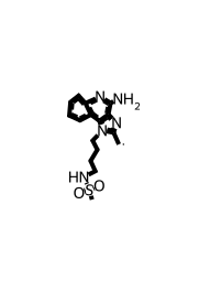 [CH2]c1nc2c(N)nc3ccccc3c2n1CCCCNS(C)(=O)=O